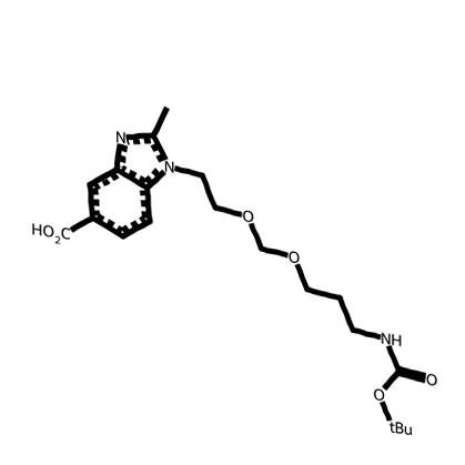 Cc1nc2cc(C(=O)O)ccc2n1CCOCOCCCNC(=O)OC(C)(C)C